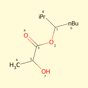 CCCCC(OC(=O)C(C)O)C(C)C